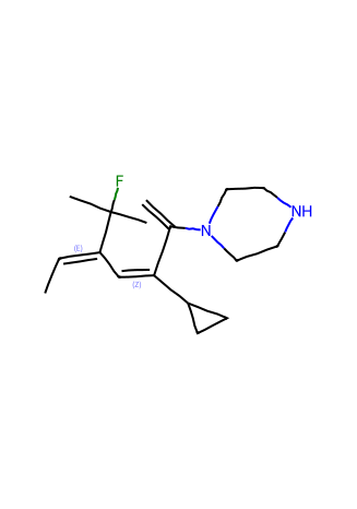 C=C(/C(=C\C(=C/C)C(C)(C)F)C1CC1)N1CCNCC1